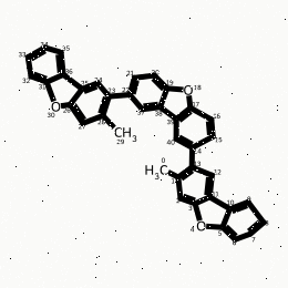 Cc1cc2oc3ccccc3c2cc1-c1ccc2oc3ccc(-c4cc5c(cc4C)oc4ccccc45)cc3c2c1